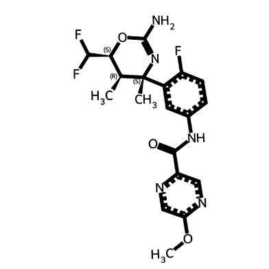 COc1cnc(C(=O)Nc2ccc(F)c([C@@]3(C)N=C(N)O[C@H](C(F)F)[C@@H]3C)c2)cn1